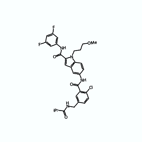 COCCCn1c(C(=O)Nc2cc(F)cc(F)c2)cc2cc(NC(=O)c3cc(CNC(=O)C(C)C)ccc3Cl)ccc21